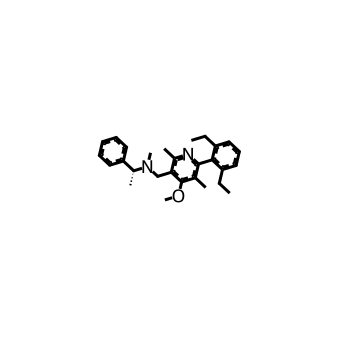 CCc1cccc(CC)c1-c1nc(C)c(CN(C)[C@H](C)c2ccccc2)c(OC)c1C